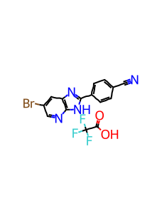 N#Cc1ccc(-c2nc3cc(Br)cnc3[nH]2)cc1.O=C(O)C(F)(F)F